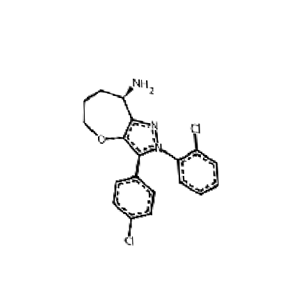 N[C@@H]1CCCOc2c1nn(-c1ccccc1Cl)c2-c1ccc(Cl)cc1